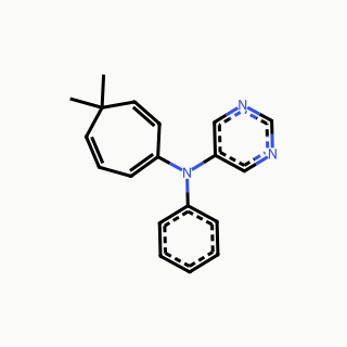 CC1(C)C=CC=C(N(c2ccccc2)c2cncnc2)C=C1